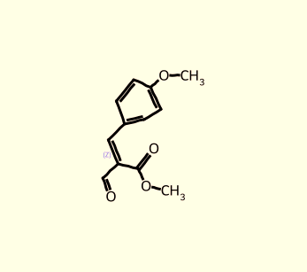 COC(=O)/C(C=O)=C\c1ccc(OC)cc1